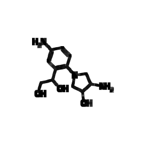 Nc1ccc(N2CC(N)C(O)C2)c(C(O)CO)c1